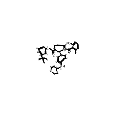 Cc1cccc(F)c1C(=O)N1CCCC(C(=O)Nc2cccc(C(C)(C)C)c2)[C@@H]1C1C=CC(NC2CCOCC2)=CC1